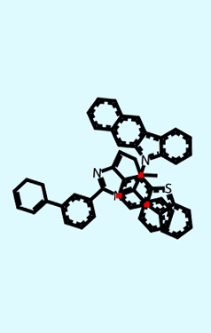 CC1C/C=C(c2ccc3c(sc4ccccc43)c2-n2c3ccccc3c3cc4ccccc4cc32)/N=C(c2cccc(C3=CC=CCC3)c2)\N=C/1c1ccccc1